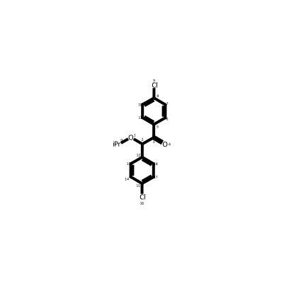 CC(C)OC(C(=O)c1ccc(Cl)cc1)c1ccc(Cl)cc1